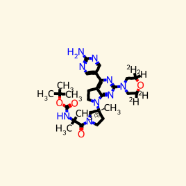 [2H]C1([2H])CN(c2nc(-c3cnc(N)nc3)c3c(n2)N([C@@]2(C)CCN(C(=O)C(C)(C)NC(=O)OC(C)(C)C)C2)CC3)CC([2H])([2H])O1